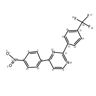 O=[N+]([O-])c1ccc(-c2ccnc(-c3ccc(C(F)(F)F)cc3)n2)cc1